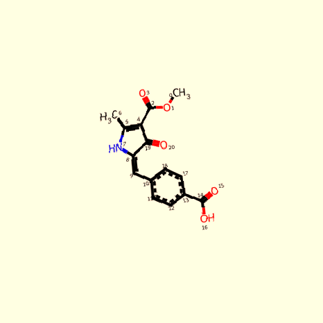 COC(=O)C1=C(C)N/C(=C/c2ccc(C(=O)O)cc2)C1=O